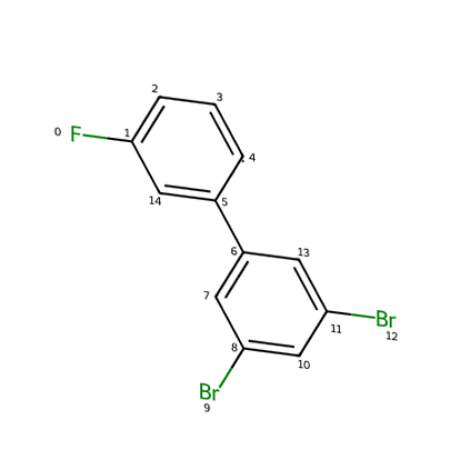 Fc1cc[c]c(-c2cc(Br)cc(Br)c2)c1